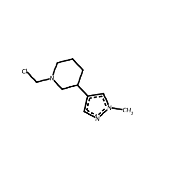 Cn1cc(C2CCCN(CCl)C2)cn1